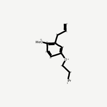 C=CCc1cc(OCCC(C)C)ccc1OC